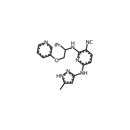 [C-]#[N+]c1ccc(Nc2cc(C)[nH]n2)nc1NC(COc1cccnc1)C(C)C